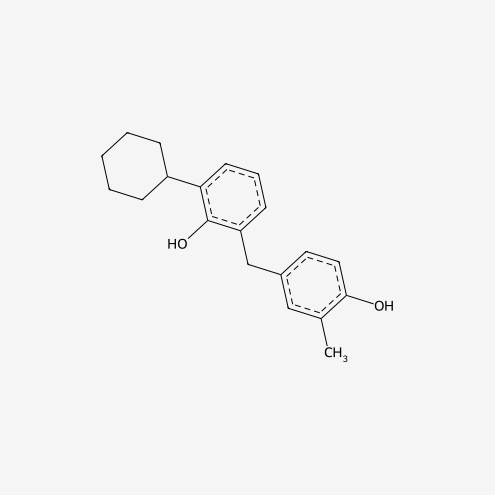 Cc1cc(Cc2cccc(C3CCCCC3)c2O)ccc1O